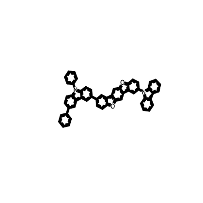 c1ccc(-c2ccc3c(c2)c2cc(-c4ccc5oc6cc7c(cc6c5c4)oc4ccc(-n5c6ccccc6c6ccccc65)cc47)ccc2n3-c2ccccc2)cc1